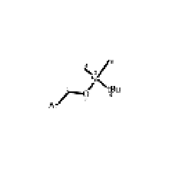 [CH2]C(=O)CO[Si](C)(C)C(C)(C)C